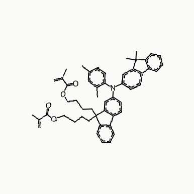 C=C(C)C(=O)OCCCCC1(CCCCOC(=O)C(=C)C)c2ccccc2-c2ccc(N(c3ccc4c(c3)C(C)(C)c3ccccc3-4)c3ccc(C)cc3C)cc21